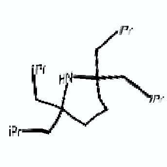 CC(C)CC1(CC(C)C)CCC(CC(C)C)(CC(C)C)N1